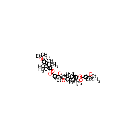 CCC(C)(CC)Oc1cc(C)c(C(C)(C)c2c(C)cc(OC(=O)c3cccc(C(=O)C(C)(CC)C(CC)(CC)Oc4cc(C)c(C(C)(C)c5c(C)cc(OC(=O)c6ccc(C(=O)C(C)(CC)CC)cc6)cc5C)c(C)c4)c3)cc2C)c(C)c1